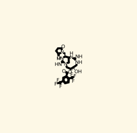 N=C1NC[C@H](O)[C@@H](OC(=O)c2cc(C(F)(F)F)ccc2C(F)(F)F)CN2CC(N1)[C@H](CN1C(=O)CCC1=O)NC2=N